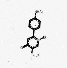 CCn1cc(C(=O)O)c(=O)cc1-c1ccc(NC(C)=O)cc1